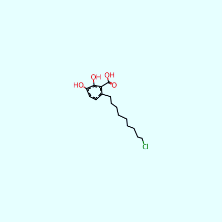 O=C(O)c1c(CCCCCCCCCCl)ccc(O)c1O